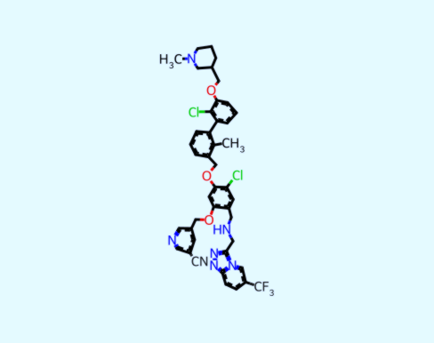 Cc1c(COc2cc(OCc3cncc(C#N)c3)c(CNCc3nnc4ccc(C(F)(F)F)cn34)cc2Cl)cccc1-c1cccc(OCC2CCCN(C)C2)c1Cl